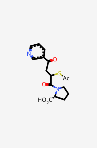 CC(=O)SC(CC(=O)c1cccnc1)C(=O)N1CCC[C@H]1C(=O)O